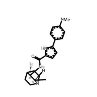 CNc1ccc(-c2ccc(C(=O)N[C@@H]3C4CCN(CC4)[C@H]3C)[nH]2)cc1